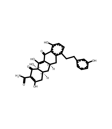 NC(=O)C1=C(O)C[C@@H]2C[C@@H]3Cc4c(CCc5cccc(O)c5)ccc(O)c4C(=O)C3=C(O)[C@]2(O)C1=O